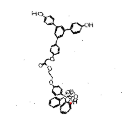 O=C(COc1ccc(-c2cc(-c3ccc(O)cc3)cc(-c3ccc(O)cc3)c2)cc1)OCCOc1ccc(S(c2ccccc2)(c2ccccc2)(C(F)(F)F)=S(=O)(O)O)cc1